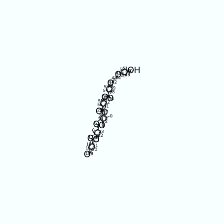 Cc1cc(OC(=O)c2ccc(OC(=O)c3ccc(C=O)cc3)cc2)ccc1OC(=O)c1ccc(OC(=O)c2ccc(OCCCOc3ccc(O)cc3)cc2)cc1